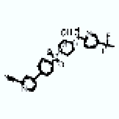 N#Cc1cc(-c2ccc(S(=O)(=O)N3CC[C@@H](Nc4ccc(C(F)(F)F)cn4)[C@@H](O)C3)cc2)ccn1